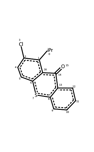 CC(C)c1c(Cl)ccc2sc3ccccc3c(=O)c12